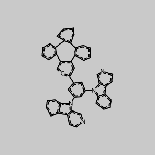 c1ccc2c(c1)-c1ccccc1-c1ccc(-c3cc(-n4c5ccccc5c5ccncc54)cc(-n4c5ccccc5c5ccncc54)c3)cc1-c1ccccc1-2